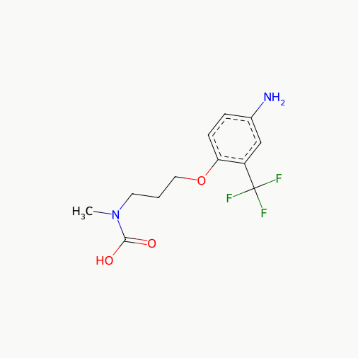 CN(CCCOc1ccc(N)cc1C(F)(F)F)C(=O)O